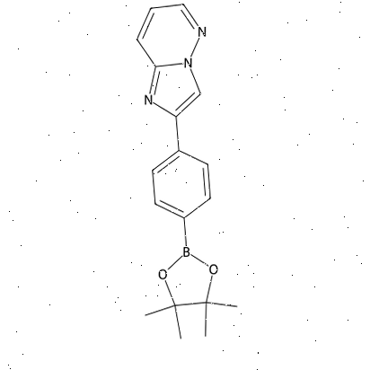 CC1(C)OB(c2ccc(-c3cn4ncccc4n3)cc2)OC1(C)C